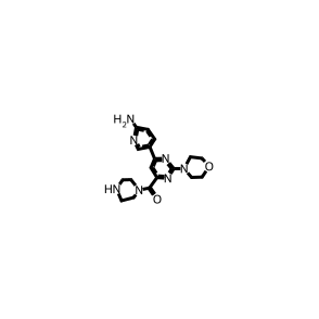 Nc1ccc(-c2cc(C(=O)N3CCNCC3)nc(N3CCOCC3)n2)cn1